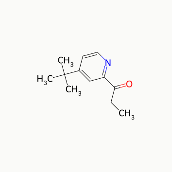 CCC(=O)c1cc(C(C)(C)C)ccn1